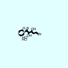 CC(C)CCC(O)C(O)C(N)N1CCSCC1.Cl.Cl